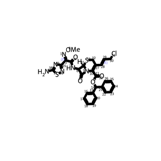 CO/N=C(\C(=O)NC1C(=O)N2C(C(=O)OC(c3ccccc3)c3ccccc3)=C(/C=C/CCl)CS[C@H]12)c1nsc(N)n1